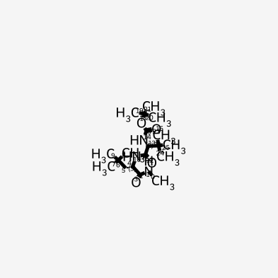 CNC(=O)[C@H](CC(C)(C)C)NC(=O)[C@@H](NC(=O)OC(C)(C)C)C(C)(C)C